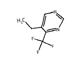 C[CH]c1cncnc1C(F)(F)F